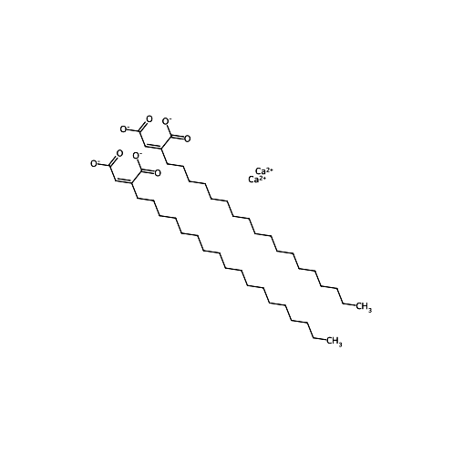 CCCCCCCCCCCCCCCCCCC(=CC(=O)[O-])C(=O)[O-].CCCCCCCCCCCCCCCCCCC(=CC(=O)[O-])C(=O)[O-].[Ca+2].[Ca+2]